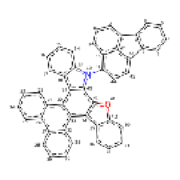 c1ccc2c(c1)-c1cccc3c(-n4c5ccccc5c5c6c7ccccc7c7ccccc7c6c6c7ccccc7oc6c54)ccc-2c13